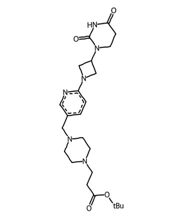 CC(C)(C)OC(=O)CCN1CCN(Cc2ccc(N3CC(N4CCC(=O)NC4=O)C3)nc2)CC1